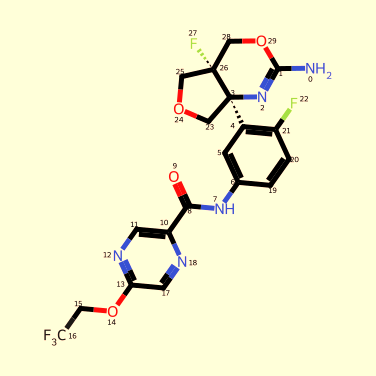 NC1=N[C@@]2(c3cc(NC(=O)c4cnc(OCC(F)(F)F)cn4)ccc3F)COC[C@@]2(F)CO1